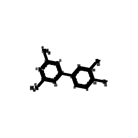 Nc1nc(N)nc(-c2ccc(Br)c(Br)c2)n1